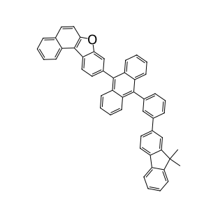 CC1(C)c2ccccc2-c2ccc(-c3cccc(-c4c5ccccc5c(-c5ccc6c(c5)oc5ccc7ccccc7c56)c5ccccc45)c3)cc21